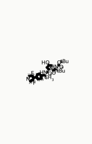 C[C@H](NC(=O)[C@@H]1C[C@@H](O)CN1C(=O)[C@@H](NC(=O)OC(C)(C)C)C(C)(C)C)c1ccc(-c2c(F)cncc2F)cc1